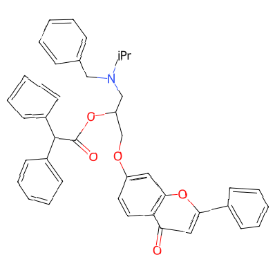 CC(C)N(Cc1ccccc1)CC(COc1ccc2c(=O)cc(-c3ccccc3)oc2c1)OC(=O)C(c1ccccc1)c1ccccc1